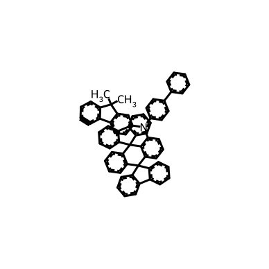 CC1(C)c2ccc#cc2-c2ccc(N(c3ccc(-c4ccccc4)cc3)c3cccc4c3C3(c5ccccc5-c5ccccc53)c3ccccc3C43c4ccccc4-c4ccccc43)cc21